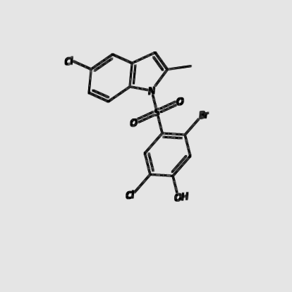 Cc1cc2cc(Cl)ccc2n1S(=O)(=O)c1cc(Cl)c(O)cc1Br